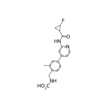 Cc1cc(-c2ccnc(NC(=O)C3CC3F)c2)ccc1CNC(=O)O